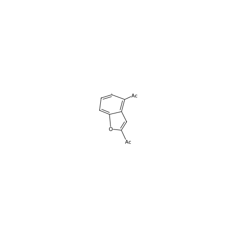 CC(=O)c1cc2c(C(C)=O)[c]ccc2o1